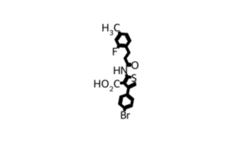 Cc1ccc(CCC(=O)Nc2scc(-c3ccc(Br)cc3)c2C(=O)O)c(F)c1